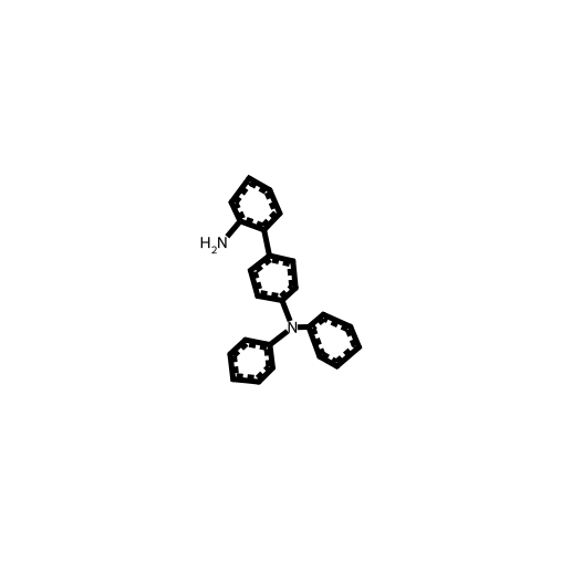 Nc1ccccc1-c1ccc(N(c2ccccc2)c2ccccc2)cc1